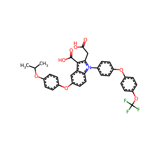 CC(C)Oc1ccc(Oc2ccc3c(c2)c(C(=O)O)c(CC(=O)O)n3-c2ccc(Oc3ccc(OC(F)(F)F)cc3)cc2)cc1